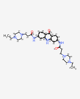 CCN1CCN(CCC(=O)Nc2ccc3c(=O)c4ccc(NC(=O)CCN5CCN(CC)CC5)cc4[nH]c3c2)CC1